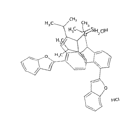 CC(C)C1=Cc2c(-c3cc4ccccc4o3)cccc2[CH]1[Zr]([CH3])([CH3])(=[SiH2])[CH]1C(C(C)C)=Cc2c(-c3cc4ccccc4o3)cccc21.Cl.Cl